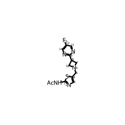 CC(=O)Nc1ncc(CN2CC(c3ncc(F)cn3)C2)s1